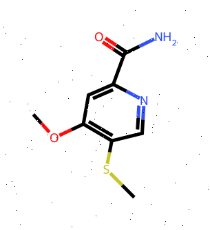 COc1cc(C(N)=O)ncc1SC